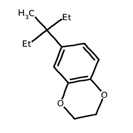 CCC(C)(CC)c1ccc2c(c1)OCCO2